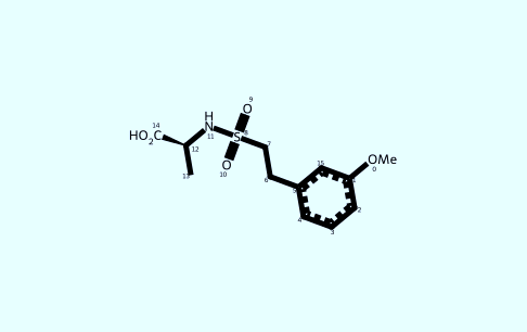 COc1cccc(CCS(=O)(=O)N[C@@H](C)C(=O)O)c1